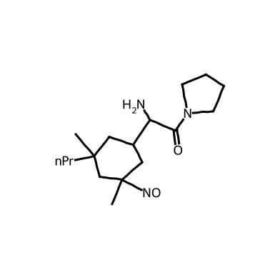 CCCC1(C)CC(C(N)C(=O)N2CCCC2)CC(C)(N=O)C1